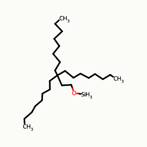 CCCCCCCCC(CCCCCCCC)(CCCCCCCC)CCO[SiH3]